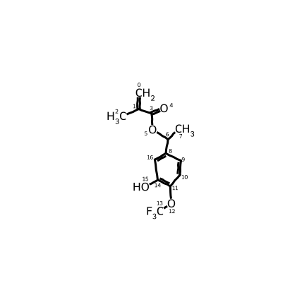 C=C(C)C(=O)OC(C)c1ccc(OC(F)(F)F)c(O)c1